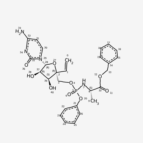 C=C[C@]1(COP(=O)(N[C@@H](C)C(=O)OCc2ccccc2)Oc2ccccc2)O[C@@H](n2ccc(N)nc2=O)[C@H](O)[C@@H]1O